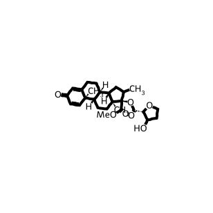 COC(=O)[C@@]1(OC(=O)[C@@H]2OCCC2O)C(C)C[C@H]2[C@@H]3CCC4=CC(=O)C=C[C@]4(C)[C@H]3CC[C@@]21C